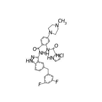 CN1CCN(c2ccc(C(=O)Nc3n[nH]c4ccc(Cc5cc(F)cc(F)c5)cc34)c(NC(=O)c3ccc[nH]3)c2)CC1.Cl